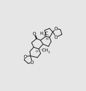 C[C@]12CCC3(CC1CC(=O)C1C2CC[C@@]2(C)C1CCC21OCCO1)OCCO3